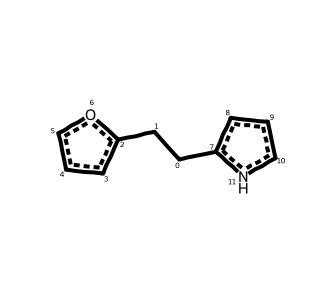 [CH](Cc1ccco1)c1ccc[nH]1